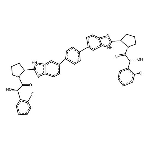 O=C([C@H](O)c1ccccc1Cl)N1CCC[C@H]1c1nc2ccc(-c3ccc(-c4ccc5nc([C@@H]6CCCN6C(=O)[C@H](O)c6ccccc6Cl)[nH]c5c4)cc3)cc2[nH]1